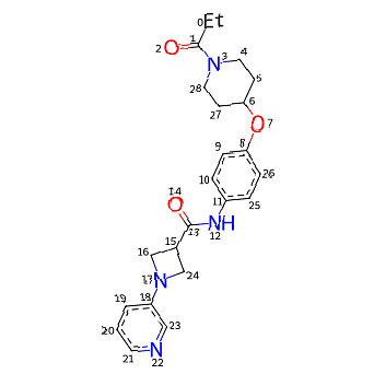 CCC(=O)N1CCC(Oc2ccc(NC(=O)C3CN(c4cccnc4)C3)cc2)CC1